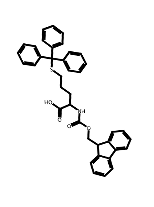 O=C(NC(CCCSC(c1ccccc1)(c1ccccc1)c1ccccc1)C(=O)O)OCC1c2ccccc2-c2ccccc21